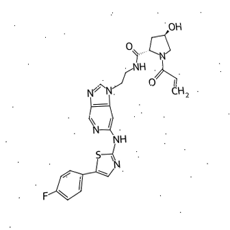 C=CC(=O)N1C[C@H](O)C[C@H]1C(=O)NCCn1cnc2cnc(Nc3ncc(-c4ccc(F)cc4)s3)cc21